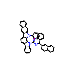 c1ccc(-n2c3cc4ccccc4cc3c3ccc4c5ccccc5n(-c5nc(-c6ccc7ccccc7c6)c6ccccc6n5)c4c32)cc1